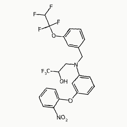 O=[N+]([O-])c1ccccc1Oc1cccc(N(Cc2cccc(OC(F)(F)C(F)F)c2)CC(O)C(F)(F)F)c1